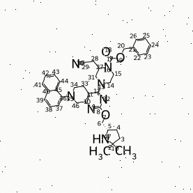 CC1(C)CC[C@@H](COc2nc3c(c(N4CCN(C(=O)OCc5ccccc5)C(CC#N)C4)n2)CCN(c2cccc4ccccc24)C3)N1